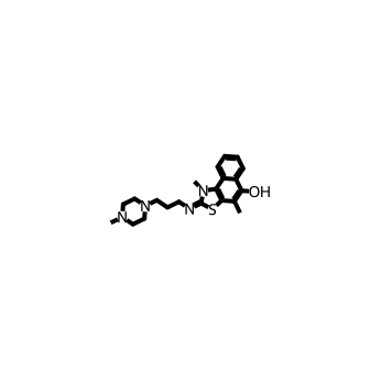 Cc1c(O)c2ccccc2c2c1sc(=NCCCN1CCN(C)CC1)n2C